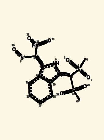 CS(=O)(=O)C(=c1[nH]/c(=C(/[S+]=O)[SH](=O)=O)c2ccccc12)S(C)(=O)=O